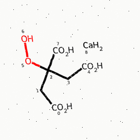 O=C(O)CC(CC(=O)O)(OO)C(=O)O.[CaH2]